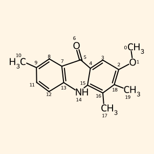 COc1cc2c(=O)c3cc(C)ccc3[nH]c2c(C)c1C